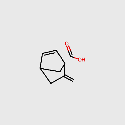 C=C1CC2C=CC1C2.O=CO